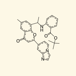 Cc1cc(C(C)Nc2ccccc2C(=O)OC(C)(C)C)c2oc(-c3ccn4ccnc4c3)cc(=O)c2c1